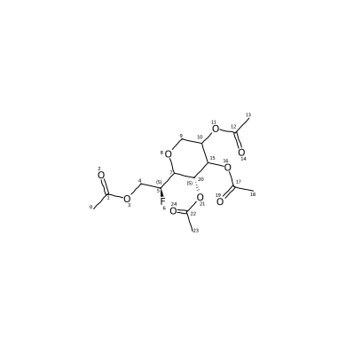 CC(=O)OC[C@H](F)C1OCC(OC(C)=O)C(OC(C)=O)[C@@H]1OC(C)=O